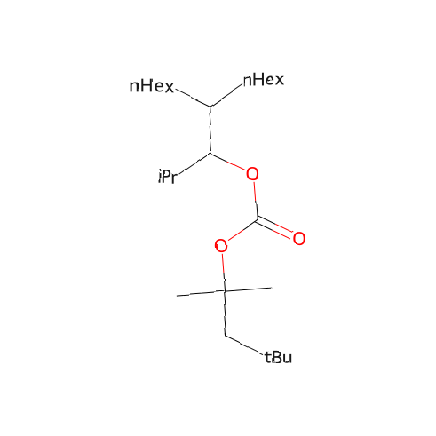 CCCCCCC(CCCCCC)C(OC(=O)OC(C)(C)CC(C)(C)C)C(C)C